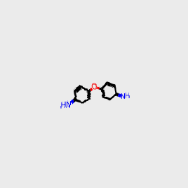 N=C1C=CC(OC2=CCC(=N)C=C2)=CC1